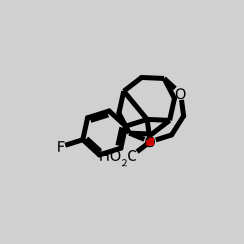 O=C(O)CC1(c2ccc(F)cc2)C2CC3CC1CC(C2)OCCO3